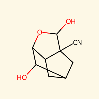 N#CC12CC3CC1C(OC2O)C3O